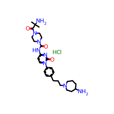 CC(C)(N)C(=O)N1CCN(C(=O)Nc2ccn(-c3ccc(CCCN4CCCC(N)CC4)cc3)c(=O)n2)CC1.Cl